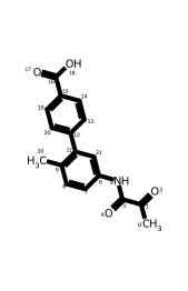 CC(=O)C(=O)Nc1ccc(C)c(-c2ccc(C(=O)O)cc2)c1